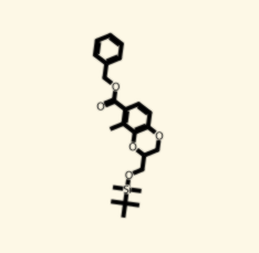 Cc1c(C(=O)OCc2ccccc2)ccc2c1OC(CO[Si](C)(C)C(C)(C)C)CO2